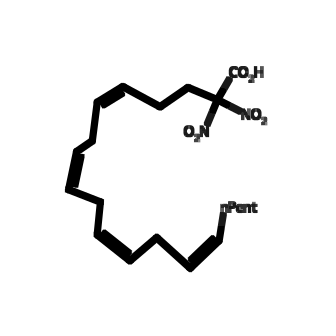 CCCCC/C=C\C/C=C\C/C=C\C/C=C\CCC(C(=O)O)([N+](=O)[O-])[N+](=O)[O-]